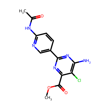 COC(=O)c1nc(-c2ccc(NC(C)=O)nc2)nc(N)c1Cl